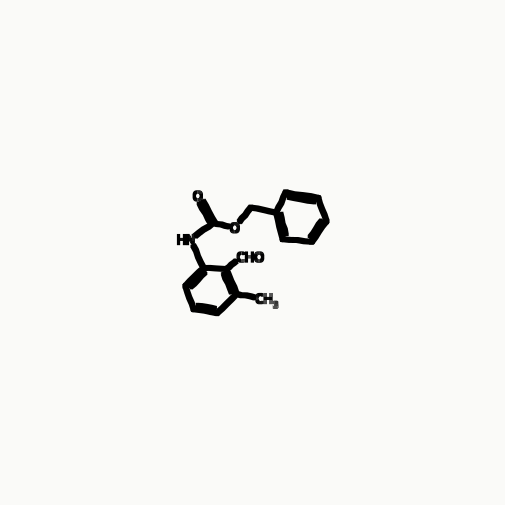 Cc1cccc(NC(=O)OCc2ccccc2)c1C=O